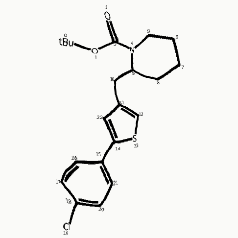 CC(C)(C)OC(=O)N1CCCCC1Cc1csc(-c2ccc(Cl)cc2)c1